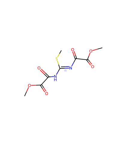 COC(=O)C(=O)/N=C(/NC(=O)C(=O)OC)SC